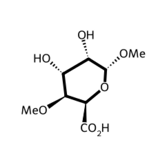 CO[C@@H]1O[C@@H](C(=O)O)[C@@H](OC)[C@H](O)[C@@H]1O